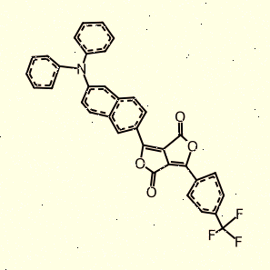 O=C1OC(c2ccc3cc(N(c4ccccc4)c4ccccc4)ccc3c2)=C2C(=O)OC(c3ccc(C(F)(F)F)cc3)=C12